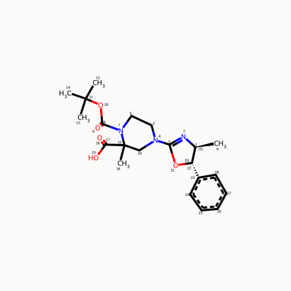 C[C@@H]1N=C(N2CCN(C(=O)OC(C)(C)C)C(C)(C(=O)O)C2)O[C@H]1c1ccccc1